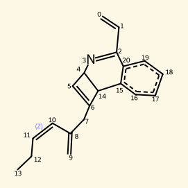 C=CC1=NC2C=C(CC(=C)/C=C\CC)C2c2ccccc21